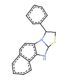 c1ccc(C2CSC3Nc4c(ccc5ccccc45)N32)cc1